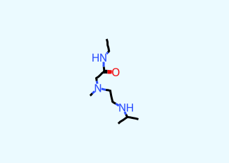 CCNC(=O)CN(C)CCNC(C)C